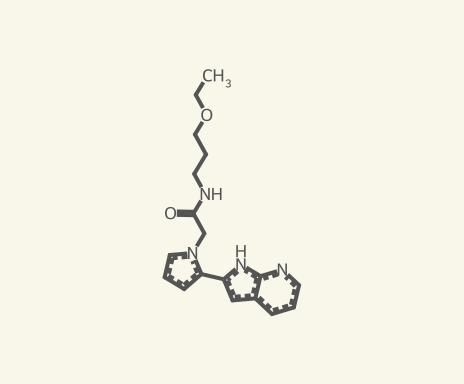 CCOCCCNC(=O)Cn1cccc1-c1cc2cccnc2[nH]1